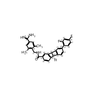 Cc1cc(C(=N)N)cc(C)c1CNC(=O)c1ccc2c(c1)C1c3cc(-c4ccc(F)cc4F)ccc3[C@@H]21